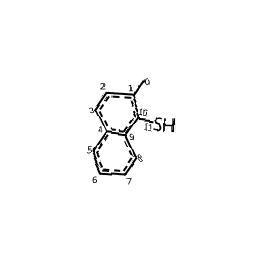 Cc1ccc2ccccc2c1S